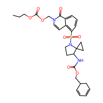 CCCOC(=O)OCn1ccc2c(S(=O)(=O)N3CCC(NC(=O)OCC4C=CC=CC4)C34CC4)cccc2c1=O